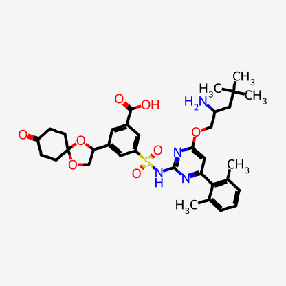 Cc1cccc(C)c1-c1cc(OCC(N)CC(C)(C)C)nc(NS(=O)(=O)c2cc(C(=O)O)cc(C3COC4(CCC(=O)CC4)O3)c2)n1